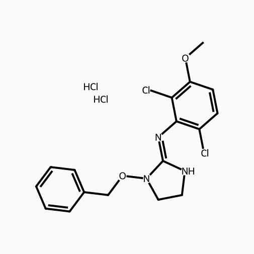 COc1ccc(Cl)c(N=C2NCCN2OCc2ccccc2)c1Cl.Cl.Cl